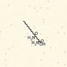 CCCCCCCCCCCC(=O)C(N)CCC[C@H](N)C(=O)O